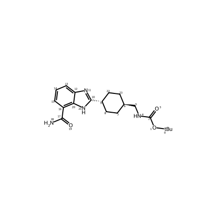 CC(C)(C)OC(=O)NC[C@H]1CC[C@H](c2nc3cccc(C(N)=O)c3[nH]2)CC1